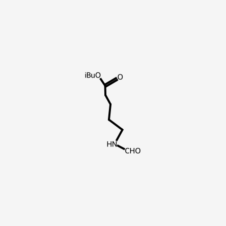 CC(C)COC(=O)CCCCNC=O